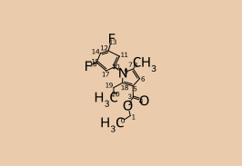 CCOC(=O)c1cc(C)n(-c2cc(F)cc(F)c2)c1CC